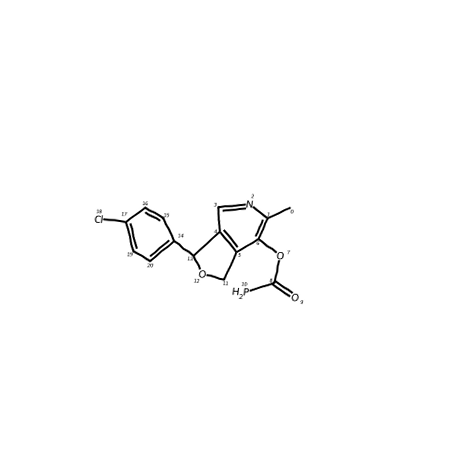 Cc1ncc2c(c1OC(=O)P)COC2c1ccc(Cl)cc1